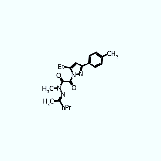 CCCC(C)=NN(C)C(=O)C(=O)n1nc(-c2ccc(C)cc2)cc1CC